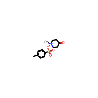 Cc1ccc(S(=O)(=O)O[N+]2(C(C)C)CCC(=O)CC2)cc1